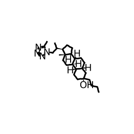 CCCC[C@@]1(O)CC[C@H]2[C@H](CC[C@@H]3[C@@H]2CC[C@]2(C)[C@@H](C(C)Cn4nnnc4C)CC[C@@H]32)C1